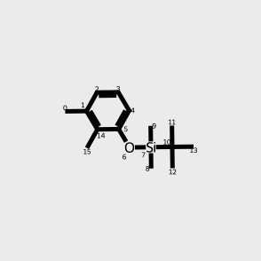 Cc1cccc(O[Si](C)(C)C(C)(C)C)c1C